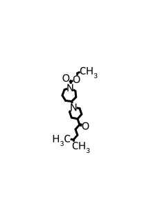 CCOC(=O)N1CCCC(N2CCC(C(=O)CCC(C)C)CC2)CC1